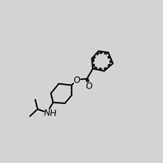 CC(C)NC1CCC(OC(=O)c2ccccc2)CC1